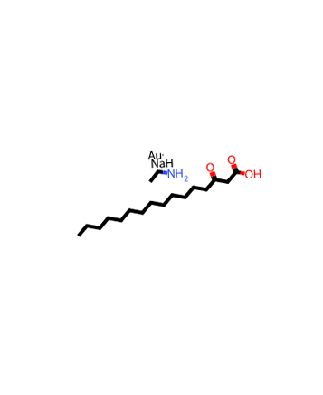 CCCCCCCCCCCCCC(=O)CC(=O)O.CCN.[Au].[NaH]